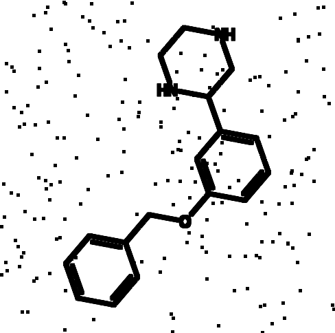 c1ccc(COc2cccc(C3CNCCN3)c2)cc1